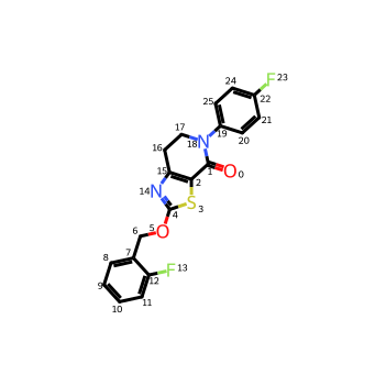 O=C1c2sc(OCc3ccccc3F)nc2CCN1c1ccc(F)cc1